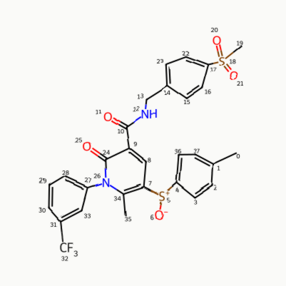 Cc1ccc([S+]([O-])c2cc(C(=O)NCc3ccc(S(C)(=O)=O)cc3)c(=O)n(-c3cccc(C(F)(F)F)c3)c2C)cc1